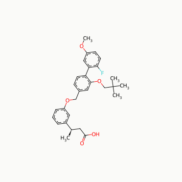 COc1ccc(F)c(-c2ccc(COc3cccc([C@H](C)CC(=O)O)c3)cc2OCC(C)(C)C)c1